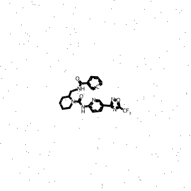 O=C(NCC1CCCCN1C(=O)Nc1ccc(-c2noc(C(F)(F)F)n2)cn1)c1ccccc1